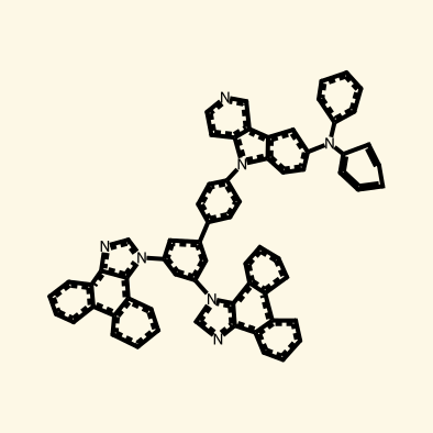 C1=C=C(N(c2ccccc2)c2ccc3c(c2)c2cnccc2n3-c2ccc(-c3cc(-n4cnc5c6ccccc6c6ccccc6c54)cc(-n4cnc5c6ccccc6c6ccccc6c54)c3)cc2)C=CC=1